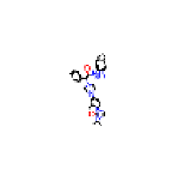 Cc1cc(N2CCN(C(C(=O)Nc3ccc4c(c3)CCC4)c3ccccc3)CC2)ccc1-n1ccn(C(C)C)c1=O